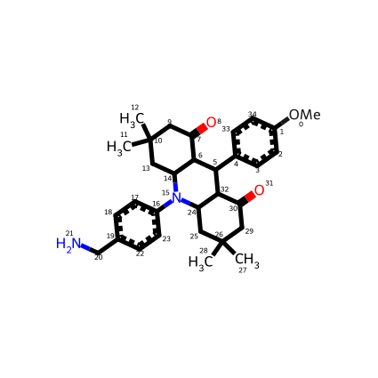 COc1ccc(C2C3C(=O)CC(C)(C)CC3N(c3ccc(CN)cc3)C3CC(C)(C)CC(=O)C23)cc1